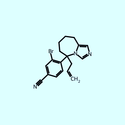 C=CCC1(c2ccc(C#N)cc2Br)CCCCc2cncn21